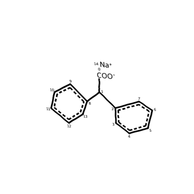 O=C([O-])C(c1ccccc1)c1ccccc1.[Na+]